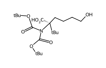 CC(C)(C)OC(=O)N(C(=O)OC(C)(C)C)[C@](CCCCO)(C(=O)O)C(C)(C)C